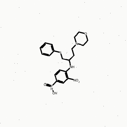 O=[N+]([O-])c1cc([PH](=O)O)ccc1NC(CCN1CCOCC1)CSc1ccccc1